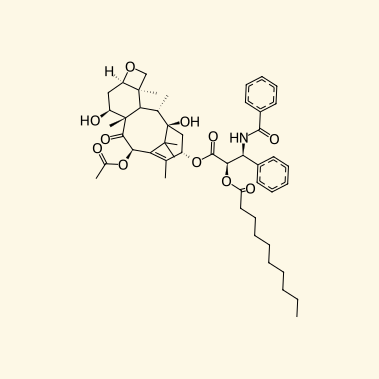 CCCCCCCCCC(=O)O[C@@H](C(=O)O[C@H]1C[C@@]2(O)[C@@H](C)C3[C@]4(C)CO[C@@H]4C[C@H](O)[C@@]3(C)C(=O)[C@H](OC(C)=O)C(=C1C)C2(C)C)[C@@H](NC(=O)c1ccccc1)c1ccccc1